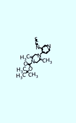 C[C@H]1CN(c2ccncc2N=C=S)[C@@H](C)CN1C(=O)OC(C)(C)C